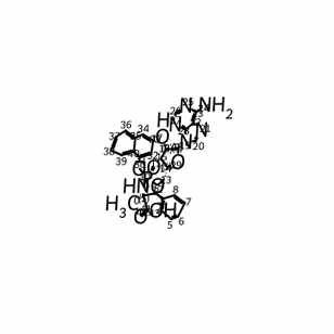 C[C@@](Cc1ccccc1)(NP(=O)(OC[C@@H]1C[C@@H](O)[C@H](n2cnc3c(N)ncnc32)O1)Oc1cccc2ccccc12)C(=O)O